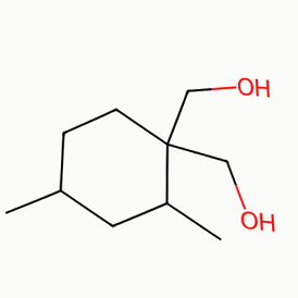 CC1CCC(CO)(CO)C(C)C1